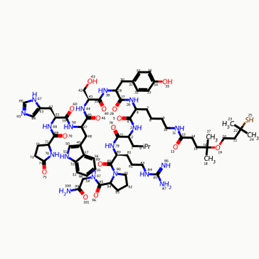 CC(C)CC(NC(=O)C(CCCCNC(=O)CCC(C)(C)OCCC(C)(C)S)NC(=O)C(Cc1ccc(O)cc1)NC(=O)[C@H](CO)NC(=O)C(Cc1c[nH]c2ccccc12)NC(=O)[C@H](Cc1cnc[nH]1)NC(=O)C1CCC(=O)N1)C(=O)N[C@@H](CCCNC(=N)N)C(=O)N1CCCC1C(=O)NCC(N)=O